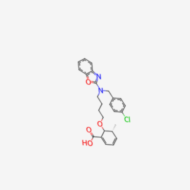 C[C@@H]1C=CC=C(C(=O)O)C1OCCCCN(Cc1ccc(Cl)cc1)c1nc2ccccc2o1